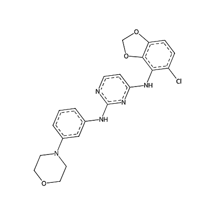 Clc1ccc2c(c1Nc1ccnc(Nc3cccc(N4CCOCC4)c3)n1)OCO2